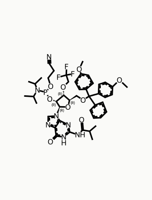 COc1ccc(C(OC[C@H]2O[C@@H](n3cnc4c(=O)[nH]c(NC(=O)C(C)C)nc43)[C@H](OP(OCCC#N)N(C(C)C)C(C)C)[C@@H]2OCC(F)(F)F)(c2ccccc2)c2ccc(OC)cc2)cc1